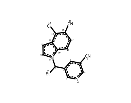 CCC(c1cncc(C#N)c1)n1ccc2c(Cl)c(C#N)ccc21